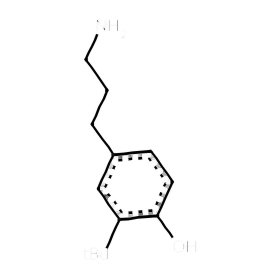 CC(C)(C)c1cc(CCCN)ccc1O